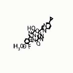 COc1ccc(-c2cnc(C(=O)O)nc2)c(CNC(=O)c2cn(Cc3cn4cc(C5CC5)ccc4n3)nn2)c1F